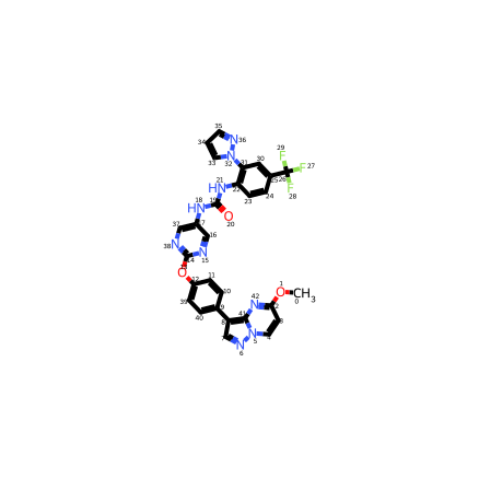 COc1ccn2ncc(-c3ccc(Oc4ncc(NC(=O)Nc5ccc(C(F)(F)F)cc5-n5cccn5)cn4)cc3)c2n1